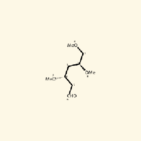 COC[C@H](C[C@H](CC=O)OC)OC